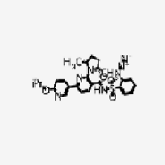 CC(C)Oc1ccc(-c2ccc(C(=O)NS(=O)(=O)c3ccccc3N=[N+]=[N-])c(N3[C@H](C)CC[C@@H]3C)n2)cn1